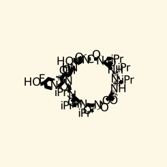 CC(C)C[C@@H]1C(=O)N[C@H](CC(C)C)C(=O)N(C)C(C(C)C)C(=O)N(C)C([C@H](O)[C@H](C)CCN2CCC(F)(CO)CC2)C(=O)NC([C@@H](C)O)C(=O)N(C)CC(=O)N(C)[C@@H](CC(C)C)C(=O)N[C@H](CC(C)C)N(C)[C@H](CC(C)C)N[C@H](C)C(=O)OC(=O)N1C